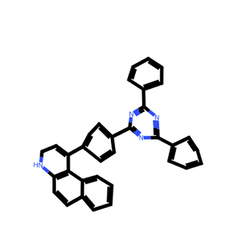 C1=C(c2ccc(-c3nc(-c4ccccc4)nc(-c4ccccc4)n3)cc2)c2c(ccc3ccccc23)NC1